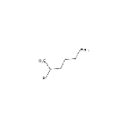 CCCC(C)CCCC(C)C(C)C